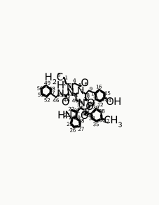 C=CCN1CC(=O)N2C(Cc3ccc(O)cc3)C(=O)N(C(c3c[nH]c4ccccc34)S(=O)(=O)c3ccc(C)cc3)CC2N1C(=O)NCc1ccccc1